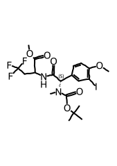 COC(=O)C(CC(F)(F)F)NC(=O)[C@H](c1ccc(OC)c(I)c1)N(C)C(=O)OC(C)(C)C